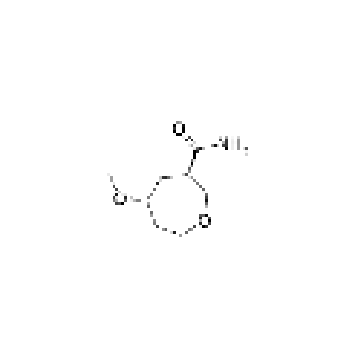 CO[C@H]1CCOC[C@H](C(N)=O)C1